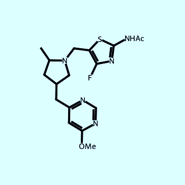 COc1cc(CC2CC(C)N(Cc3sc(NC(C)=O)nc3F)C2)ncn1